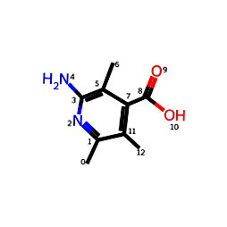 Cc1nc(N)c(C)c(C(=O)O)c1C